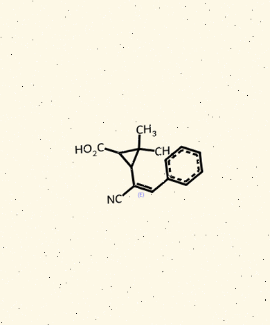 CC1(C)C(C(=O)O)C1/C(C#N)=C\c1ccccc1